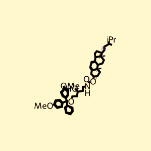 COc1ccc(C(OCCC(O)CCNC(=O)O[C@@H]2CC[C@]3(C)C(=CC=C4C5CCC(/C=C/C(C)C(C)C)[C@]5(C)CCC43)C2)(c2ccccc2)c2ccc(OC)cc2)cc1